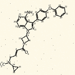 CN(CC=CC(=O)N1CC(n2nc(-c3ccc(Oc4ccccc4)cc3)c3c(N)ncnc32)C1)C1CC1